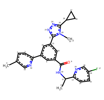 Cc1ccc(-c2cc(C(=O)NC(C)c3ccc(F)cn3)cc(-c3nnc(C4CC4)n3C)c2)nc1